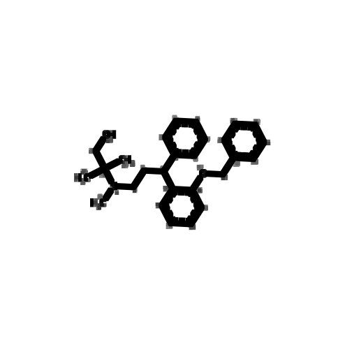 CN(CCC(c1ccccc1)c1ccccc1OCc1ccccc1)C(C)(C)CO